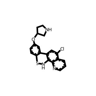 Clc1cc2c(c3ncccc13)NSc1ccc(OC3CCNC3)cc1-2